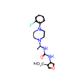 CC(NC(=O)Nc1cocc1C(=O)O)N1CCN(c2ccccc2F)CC1